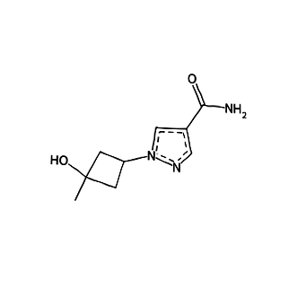 CC1(O)CC(n2cc(C(N)=O)cn2)C1